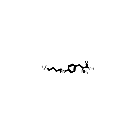 CCCCCNc1ccc(C[C@H](N)C(=O)O)cc1